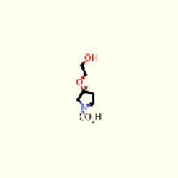 O=C(O)N1CC[C@@H](OCCO)C1